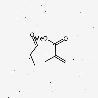 C=C(C)C(=O)OC.CCC=O